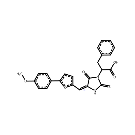 COc1ccc(-c2ccc(/C=C3/NC(=S)N(C(Cc4ccccc4)C(=O)O)C3=O)s2)cc1